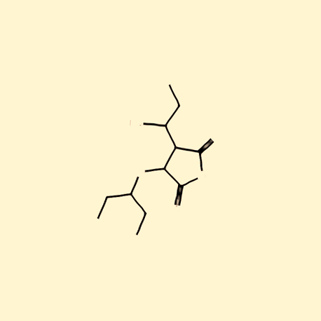 CCC(CC)OC1C(=O)OC(=O)C1C([SiH3])CC